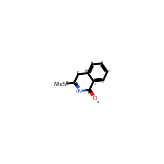 CSC1=NC(=O)c2ccccc2C1